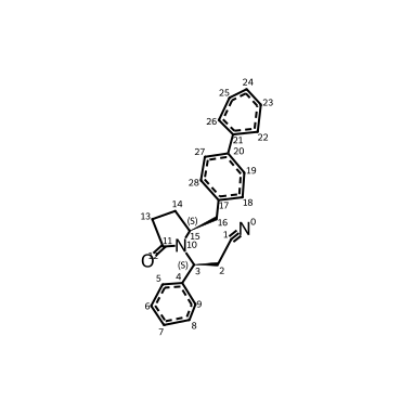 N#CC[C@@H](c1ccccc1)N1C(=O)CC[C@H]1Cc1ccc(-c2ccccc2)cc1